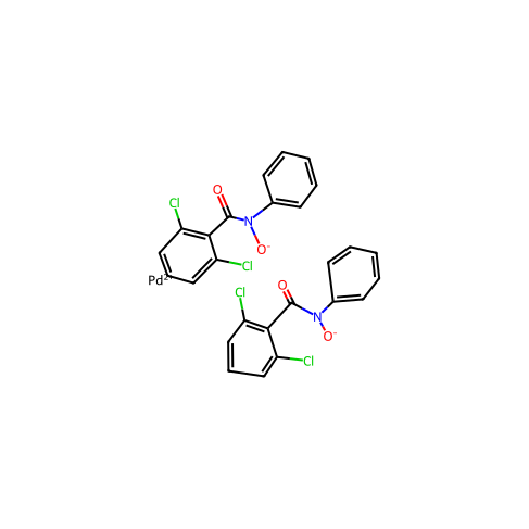 O=C(c1c(Cl)cccc1Cl)N([O-])c1ccccc1.O=C(c1c(Cl)cccc1Cl)N([O-])c1ccccc1.[Pd+2]